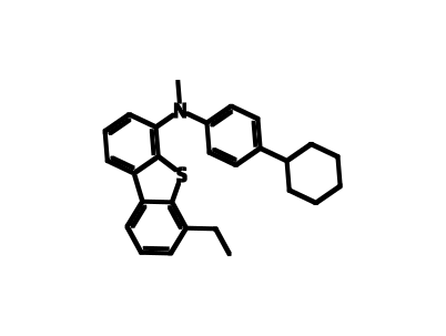 CCc1cccc2c1sc1c(N(C)c3ccc(C4CCCCC4)cc3)cccc12